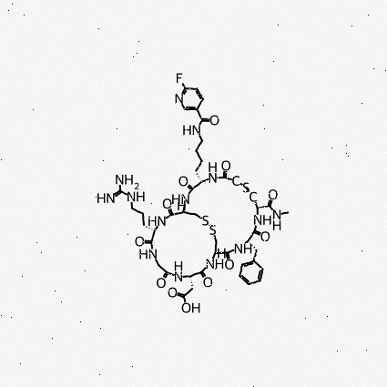 CNC(=O)[C@@H]1CSCC(=O)N[C@@H](CCCCNC(=O)c2ccc(F)nc2)C(=O)N[C@H]2CSSC[C@H](NC(=O)[C@H](CC(=O)O)NC(=O)CNC(=O)[C@H](CCCNC(=N)N)NC2=O)C(=O)N[C@@H](Cc2ccccc2)C(=O)N1